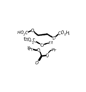 CC(C)OC(=O)OC(C)C.CCOC(=O)OCC.O=C(O)OCCOC(=O)O